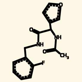 CC(=O)NC(C(=O)NCc1ccccc1F)c1ccoc1